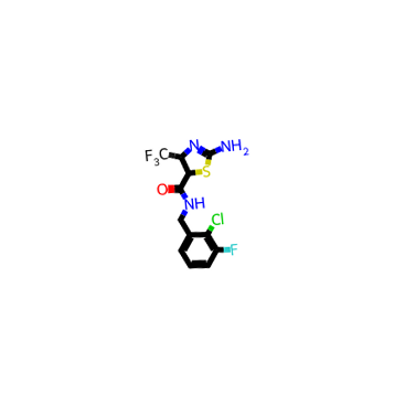 NC1=NC(C(F)(F)F)C(C(=O)NCc2cccc(F)c2Cl)S1